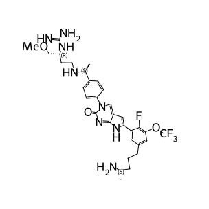 COC[C@@H](CCN[C@@H](C)c1ccc(-n2cc3cc(-c4cc(CCC[C@H](C)N)cc(OC(F)(F)F)c4F)[nH]c3nc2=O)cc1)NC(=N)N